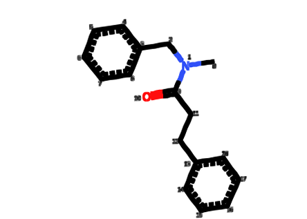 CN(Cc1ccccc1)C(=O)[CH]Cc1ccccc1